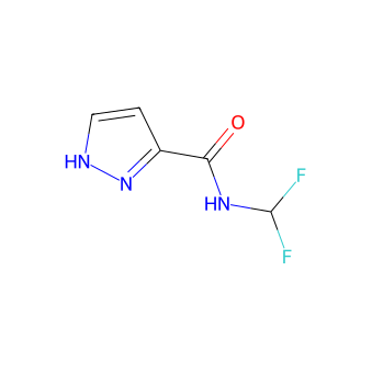 O=C(NC(F)F)c1cc[nH]n1